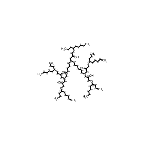 CCCCCC(CCC)OCC(O)CN(CCCCCCN(CC(O)COC(CCC)CCCCC)CC(O)COC(CCC)CCCCC)CCCCCCN(CC(O)COC(CCC)CCCCC)CC(O)COC(CCC)CCCCC